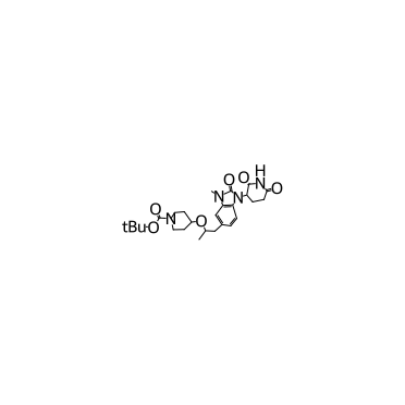 CC(Cc1ccc2c(c1)n(C)c(=O)n2C1CCC(=O)NC1=O)OC1CCN(C(=O)OC(C)(C)C)CC1